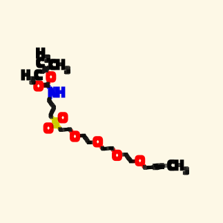 CC#CCOCCOCCOCCOCCS(=O)(=O)CCCNC(=O)OC(C)(C)C